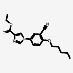 CCCCCOc1ccc(-n2cnc(C(=O)OCC)c2)cc1C#N